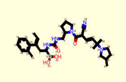 C/C=C(/CC(NC(=O)NCC1CCCN1C(=O)C(C#N)/C=C/C(C)(C)N1CCC(C)C1)B(O)O)c1ccccc1C